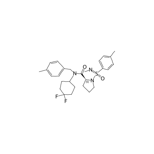 CN=S(=O)(c1ccc(C)cc1)N1CCC[C@H]1C(=O)N(Cc1ccc(C)cc1)C1CCC(F)(F)CC1